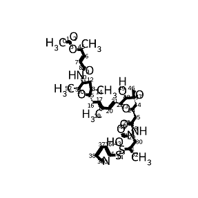 CC(=O)O[C@@H](C)C=CC(=O)N[C@@H]1C[C@H](C)[C@H](CC=C(C)C=C[C@H]2O[C@H](CC(=O)NN(CC(C)SSc3ccccn3)C(=O)O)C[C@@]3(CO3)[C@@H]2O)O[C@@H]1C